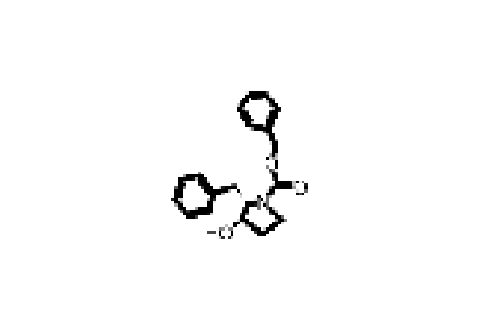 O=C(OCc1ccccc1)N1CC[C@@H](O)[C@@H]1Cc1ccccc1